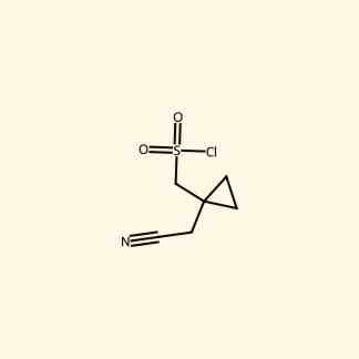 N#CCC1(CS(=O)(=O)Cl)CC1